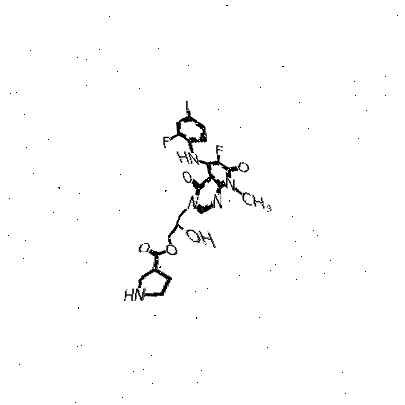 Cn1c(=O)c(F)c(Nc2ccc(I)cc2F)c2c(=O)n(CC(O)COC(=O)C3CCNC3)cnc21